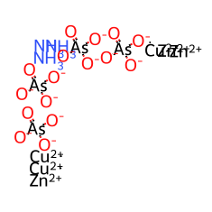 N.N.N.O=[As]([O-])([O-])[O-].O=[As]([O-])([O-])[O-].O=[As]([O-])([O-])[O-].O=[As]([O-])([O-])[O-].[Cu+2].[Cu+2].[Cu+2].[Zn+2].[Zn+2].[Zn+2]